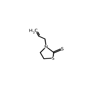 C=CCN1CCSC1=S